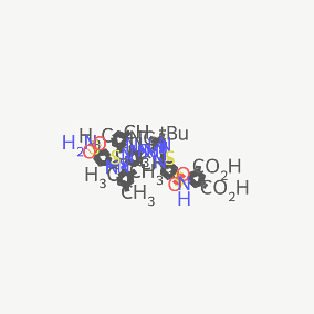 Cc1cc(C)c(Nc2nc(N(c3nc4ccc(S(N)(=O)=O)cc4s3)c3c(C)cc(C)cc3C)cc(C)c2N=Nc2c(C#N)c(C(C)(C)C)nn2-c2nc3ccc(S(=O)(=O)Nc4cc(C(=O)O)cc(C(=O)O)c4)cc3s2)c(C)c1